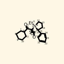 CC[N+]1(C(=O)C(=O)C2CCCCC2)CCC[C@@]1(C([O-])=S)c1ccccc1